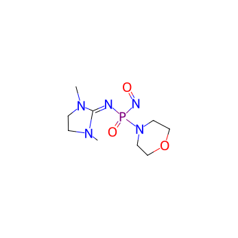 CN1CCN(C)C1=NP(=O)(N=O)N1CCOCC1